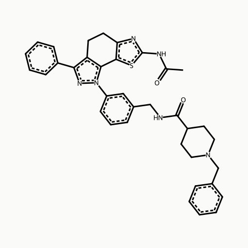 CC(=O)Nc1nc2c(s1)-c1c(c(-c3ccccc3)nn1-c1cccc(CNC(=O)C3CCN(Cc4ccccc4)CC3)c1)CC2